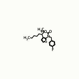 CCCCCC(CC)c1ccsc1N(Cc1ccc(F)cc1)C(=O)O